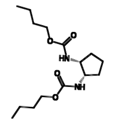 CCCCOC(=O)N[C@H]1CCC[C@H]1NC(=O)OCCCC